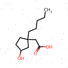 CCCCCC1(CC(=O)O)CCC(O)C1